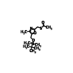 CC(=O)SCc1nc(C)c(CO[Si](C)(C)C(C)(C)C)o1